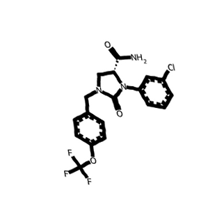 NC(=O)[C@H]1CN(Cc2ccc(OC(F)(F)F)cc2)C(=O)N1c1cccc(Cl)c1